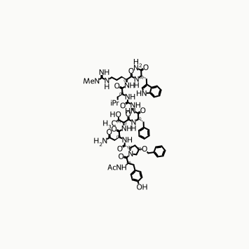 CNC(=N)NCCC[C@H](NC(=O)[C@H](CC(C)C)NC(=O)NNC(=O)[C@H](Cc1ccccc1)NC(=O)[C@@H](NC(=O)[C@H](CC(N)=O)NC(=O)[C@@H]1C[C@@H](OCc2ccccc2)CN1C(=O)[C@@H](Cc1ccc(O)cc1)NC(C)=O)[C@@H](C)O)C(=O)N[C@@H](Cc1c[nH]c2ccccc12)C(N)=O